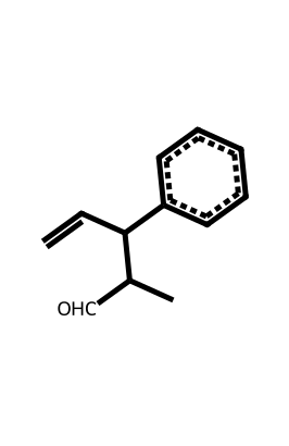 C=CC(c1ccccc1)C(C)C=O